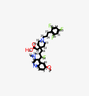 COc1ccc2ncc(N(C)C)c([C@H](F)CCC3(CC(=O)O)CCN(CCCc4c(F)cc(F)cc4F)CC3)c2c1